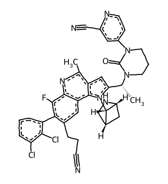 Cc1nc2c(F)c(-c3cccc(Cl)c3Cl)c(CCC#N)cc2c2c1cc([C@@H](C)N1CCCN(c3ccnc(C#N)c3)C1=O)n2[C@H]1[C@H]2CN[C@@H]1C2